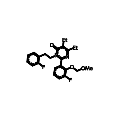 CCc1nc(-c2cccc(F)c2OCOC)n(CCc2ccccc2F)c(=O)c1CC